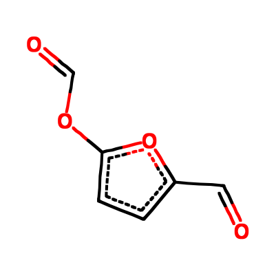 O=COc1ccc(C=O)o1